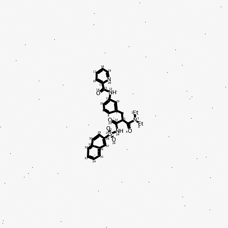 CCN(CC)C(=O)C(Cc1cccc(NC(=O)c2ccccn2)c1)C(=O)NS(=O)(=O)c1ccc2ccccc2c1